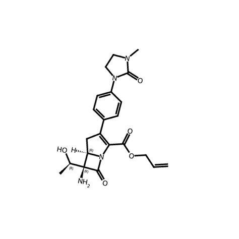 C=CCOC(=O)C1=C(c2ccc(N3CCN(C)C3=O)cc2)C[C@H]2N1C(=O)[C@]2(N)[C@@H](C)O